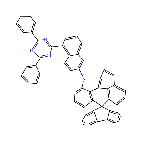 c1ccc(-c2nc(-c3ccccc3)nc(-c3cccc4cc(-n5c6cccc7c6c6c8c(cccc8ccc65)C75c6ccccc6-c6ccccc65)ccc34)n2)cc1